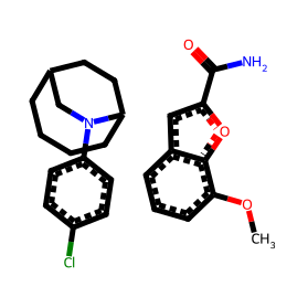 COc1cccc2cc(C(N)=O)oc12.Clc1ccc(N2CC3CCCCC2CC3)cc1